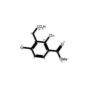 COC(=O)c1ccc(Cl)c(CC(=O)O)c1Cl